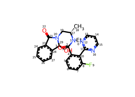 CCN(C(=O)c1cccc(F)c1-c1ncccn1)[C@@H](C)CN1C(=O)c2ccccc2C1O